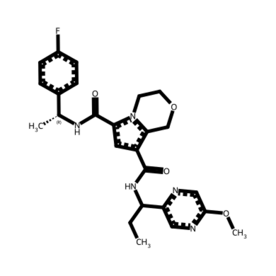 CCC(NC(=O)c1cc(C(=O)N[C@H](C)c2ccc(F)cc2)n2c1COCC2)c1cnc(OC)cn1